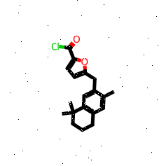 Cc1cc2c(cc1Cc1ccc(C(=O)Cl)o1)C(C)(C)CCC2